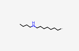 [CH2]CCCCCCCNCCCC